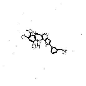 COc1cc(Nc2c(C#N)cnc3cc(-c4cccc(CN(C)C)c4)sc23)c(Cl)cc1Cl